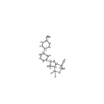 CCC(C)c1ccc(-c2nccc(-c3cc4c([nH]3)C(C)(C)CNC4=O)n2)cc1